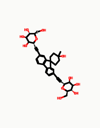 CC1(O)CCC2(CC1)c1cc(C#C[C@H]3O[C@H](CO)[C@@H](O)[C@H](O)[C@@H]3O)ccc1-c1ccc(C#C[C@H]3O[C@H](CO)[C@@H](O)[C@H](O)[C@@H]3O)cc12